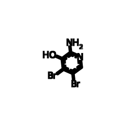 Nc1ncc(Br)c(Br)c1O